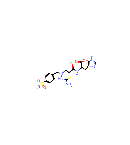 NC(=S)NN(CCC(=O)NC(Cc1c[nH]cn1)C(=O)O)Cc1ccc(S(N)(=O)=O)cc1